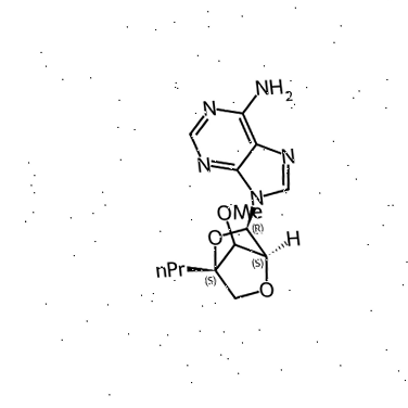 CCC[C@]12CO[C@@H](C1OC)[C@H](n1cnc3c(N)ncnc31)O2